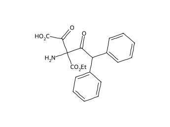 CCOC(=O)C(N)(C(=O)C(=O)O)C(=O)C(c1ccccc1)c1ccccc1